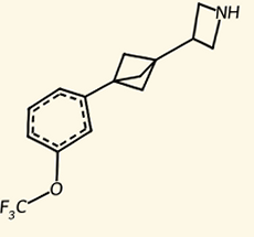 FC(F)(F)Oc1cccc(C23CC(C4CNC4)(C2)C3)c1